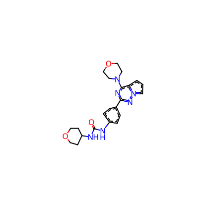 O=C(Nc1ccc(-c2nc(N3CCOCC3)c3cccn3n2)cc1)NC1CCOCC1